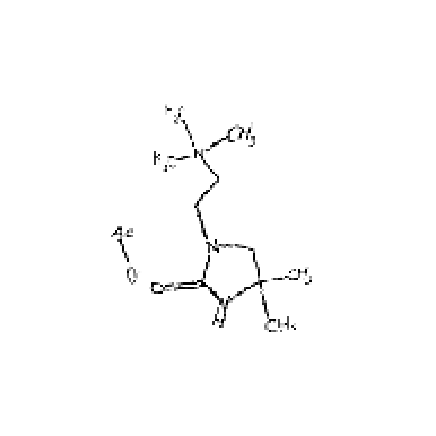 CC(=O)[O-].CC1(C)CN(CC[N+](C)(C)C)C(=O)N1